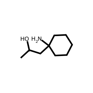 C[C](O)CC1(N)CCCCC1